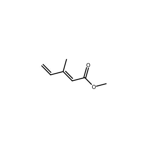 C=C/C(C)=C/C(=O)OC